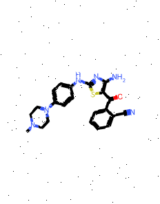 CN1CCN(c2ccc(Nc3nc(N)c(C(=O)c4ccccc4C#N)s3)cc2)CC1